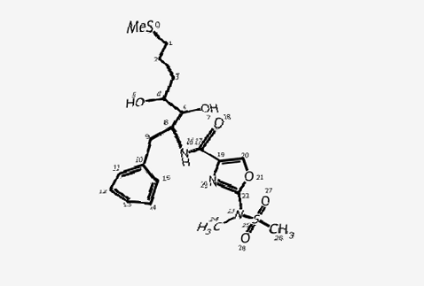 CSCCCC(O)C(O)C(Cc1ccccc1)NC(=O)c1coc(N(C)S(C)(=O)=O)n1